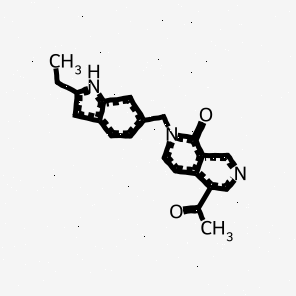 CCc1cc2ccc(Cn3ccc4c(C(C)=O)cncc4c3=O)cc2[nH]1